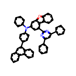 c1ccc(-c2cc(-c3ccccc3)nc(-c3cc(N(c4ccccc4)c4ccc(-c5cc6ccccc6c6ccccc56)cc4)cc4oc5ccccc5c34)n2)cc1